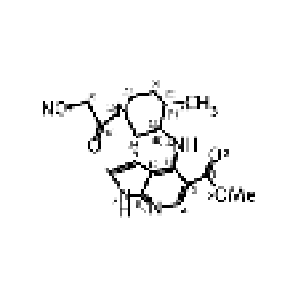 COC(=O)c1cnc2[nH]ccc2c1N[C@H]1CN(C(=O)CC#N)CC[C@H]1C